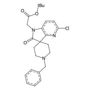 CC(C)(C)OC(=O)CN1C(=O)C2(CCN(Cc3ccccc3)CC2)c2nc(Cl)ccc21